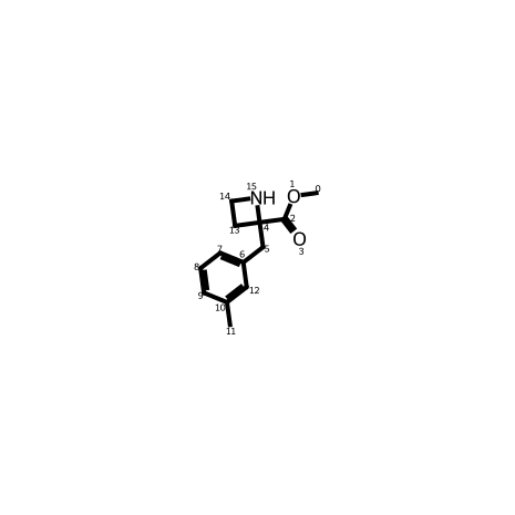 COC(=O)C1(Cc2cccc(C)c2)CCN1